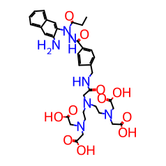 CCC(=O)N(NC(=O)c1ccc(CNC(=O)CN(CCN(CC(=O)O)CC(=O)O)CCN(CC(=O)O)CC(=O)O)cc1)c1cc2ccccc2cc1N